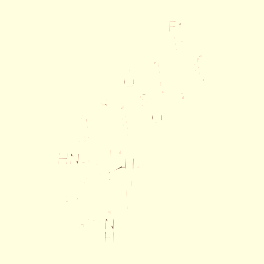 O=S(=O)(c1cccc(F)c1)c1ccc2c(c1)[C@@H]1CCNCCC1N2